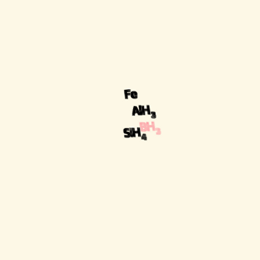 B.[AlH3].[Fe].[SiH4]